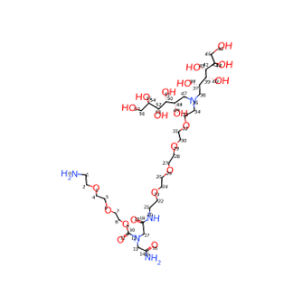 NCCOCCOCCOC(=O)N(CC(N)=O)CC(=O)NCCOCCOCCOCCOCCN(C[C@H](O)[C@@H](O)[C@H](O)[C@H](O)CO)C[C@H](O)[C@@H](O)[C@H](O)[C@H](O)CO